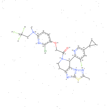 Cc1nn2c3c(nc2s1)CCN(C(=O)COc1ccc(N(C)CC(F)(F)F)nc1Cl)C3c1ncc(C2CC2)cc1F